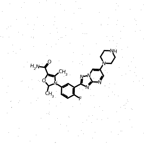 CC1=C(C(N)=O)OC(C)N1c1ccc(F)c(-c2nc3ncc(N4CCNCC4)cn3n2)c1